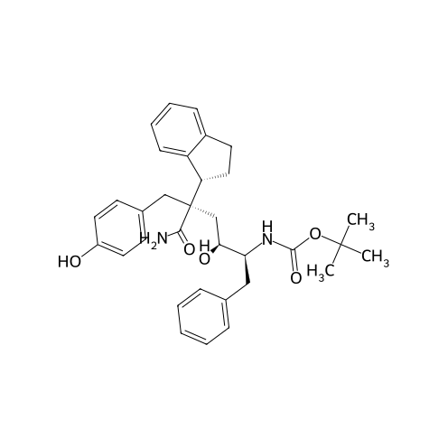 CC(C)(C)OC(=O)N[C@@H](Cc1ccccc1)[C@@H](O)C[C@@](Cc1ccc(O)cc1)(C(N)=O)[C@H]1CCc2ccccc21